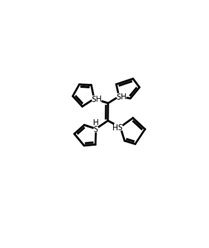 C1=C[SH](C(=C([SH]2C=CC=C2)[SH]2C=CC=C2)[SH]2C=CC=C2)C=C1